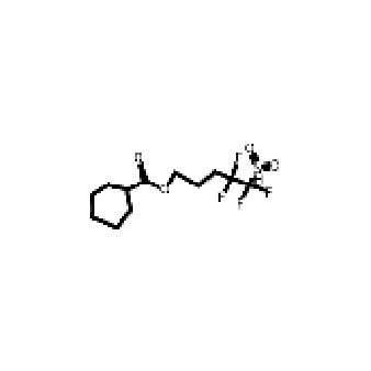 O=C(OCCCC(F)(F)C(F)(F)[SH](=O)=O)C1CCCCC1